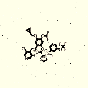 O=C(O[C@@H](Cc1c(Cl)cncc1Cl)c1ccc(OC(F)F)c(OCC2CC2)c1)[C@@H]1SCCN1S(=O)(=O)c1cccc(OC(F)(F)F)c1